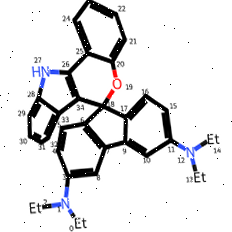 CCN(CC)c1ccc2c(c1)-c1cc(N(CC)CC)ccc1C21Oc2ccccc2-c2[nH]c3ccccc3c21